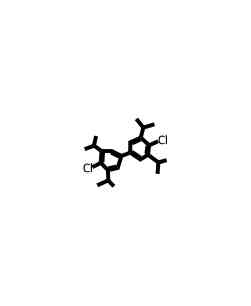 CC(C)c1cc(-c2cc(C(C)C)c(Cl)c(C(C)C)c2)cc(C(C)C)c1Cl